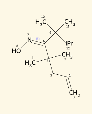 C=CCC(C)(C)/C(=N\O)C(C)(C)C(C)C